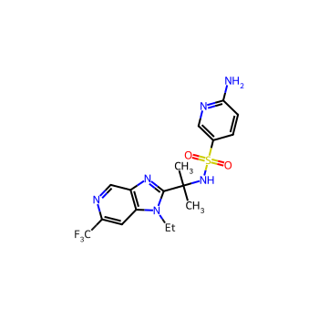 CCn1c(C(C)(C)NS(=O)(=O)c2ccc(N)nc2)nc2cnc(C(F)(F)F)cc21